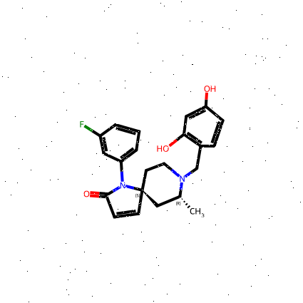 C[C@@H]1C[C@]2(C=CC(=O)N2c2cccc(F)c2)CCN1Cc1ccc(O)cc1O